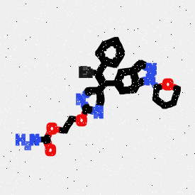 CCC(=C(c1cnc(OCCOC(N)=O)nc1)c1ccc2c(cnn2C2CCCCO2)c1)c1ccccc1